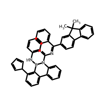 CC1(C)c2ccccc2-c2ccc(-c3nc(N4B(Nc5ccccc5)c5c(cccc5C5C=CC=C5)-c5ccccc54)nc4ccccc34)cc21